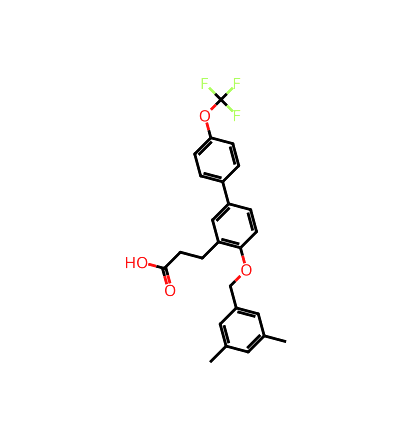 Cc1cc(C)cc(COc2ccc(-c3ccc(OC(F)(F)F)cc3)cc2CCC(=O)O)c1